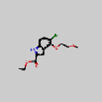 CCOC(=O)c1cc2c(OCCOC)c(Br)ccc2[nH]1